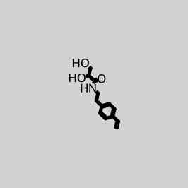 C=Cc1ccc(CCNC(=O)C(O)CO)cc1